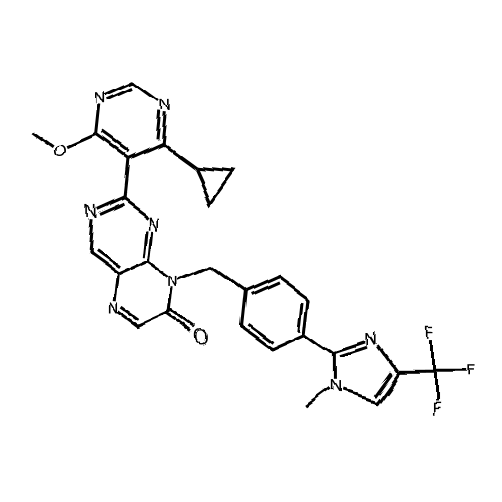 COc1ncnc(C2CC2)c1-c1ncc2ncc(=O)n(Cc3ccc(-c4nc(C(F)(F)F)cn4C)cc3)c2n1